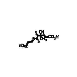 CCCCCCCCCCCCSC(=S)C(=S)C(C)(C#N)CCC(=O)O